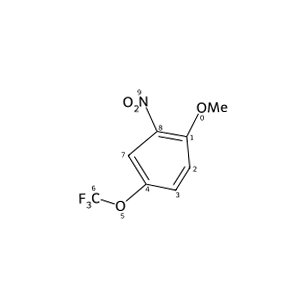 COc1ccc(OC(F)(F)F)cc1[N+](=O)[O-]